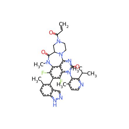 C=CC(=O)N1CCN2c3nc(=O)n(-c4c(C)ccnc4C(C)C)c4c(F)c(-c5c(C)ccc6[nH]ncc56)c(F)c(c34)N(C)C(=O)C2C1